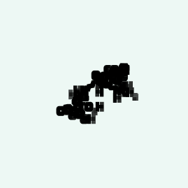 N=C(N)NCCCCC(=O)N[C@@H](CCCCNC(=S)Nc1ccc(-c2c3ccc(=O)cc-3oc3cc(O)ccc23)c(C(=O)O)c1)C(=O)NC[C@H](NC(=O)[C@@H]1CCCN1S(=O)(=O)c1ccccc1)C(=O)O